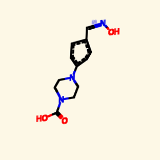 O=C(O)N1CCN(c2ccc(/C=N\O)cc2)CC1